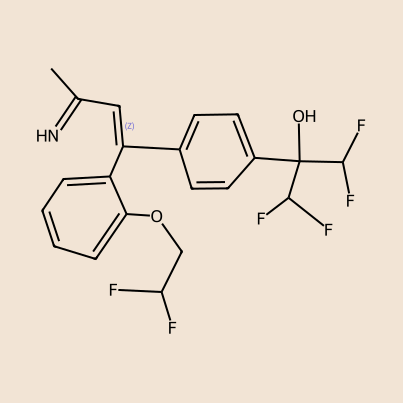 CC(=N)/C=C(/c1ccc(C(O)(C(F)F)C(F)F)cc1)c1ccccc1OCC(F)F